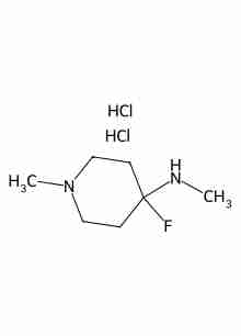 CNC1(F)CCN(C)CC1.Cl.Cl